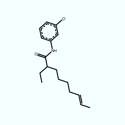 CC=CCCCCC(CC)C(=O)Nc1cccc(Cl)c1